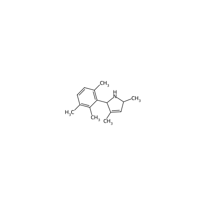 CC1=CC(C)NC1c1c(C)ccc(C)c1C